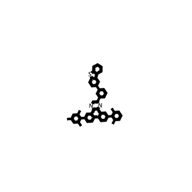 Cc1cc(C)c(-c2ccc3c4ccc(-c5c(C)cccc5C)cc4c4nc(-c5cccc(-c6ccc7sc8ccccc8c7c6)c5)cnc4c3c2)c(C)c1